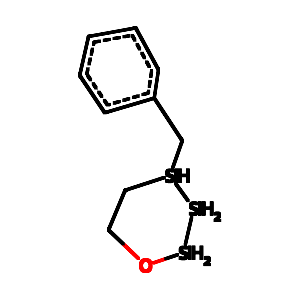 c1ccc(C[SiH]2CCO[SiH2][SiH2]2)cc1